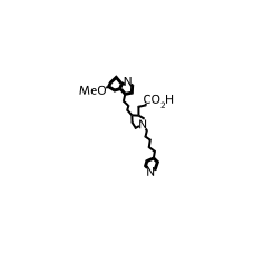 COc1ccc2nccc(CCCC3CCN(CCCCCc4ccncc4)CC3CCC(=O)O)c2c1